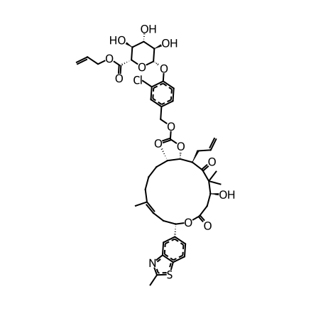 C=CCOC(=O)[C@H]1O[C@@H](Oc2ccc(COC(=O)O[C@H]3[C@@H](C)CCCC(C)=CC[C@@H](c4ccc5sc(C)nc5c4)OC(=O)C[C@H](O)C(C)(C)C(=O)[C@@H]3CC=C)cc2Cl)[C@H](O)[C@@H](O)[C@@H]1O